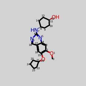 COc1cc2nc(N[C@H]3CC[C@H](O)CC3)ncc2cc1OC1CCCC1